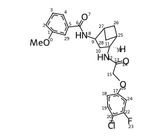 COc1cccc(C(=O)NC2C[C@H](NC(=O)COc3ccc(Cl)c(F)c3)C3CC2C3)c1